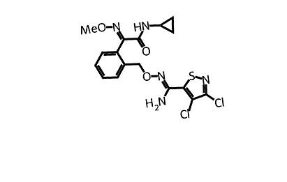 CO/N=C(/C(=O)NC1CC1)c1ccccc1CO/N=C(\N)c1snc(Cl)c1Cl